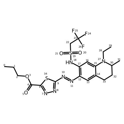 CCCOC(=O)c1nnc(N=Nc2cc3c(cc2NS(=O)(=O)CC(F)(F)F)N(CC)C(C)CC3)s1